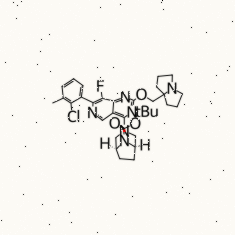 Cc1cccc(-c2ncc3c(N4C[C@H]5CC[C@@H](C4)N5C(=O)OC(C)(C)C)nc(OCC45CCCN4CCC5)nc3c2F)c1Cl